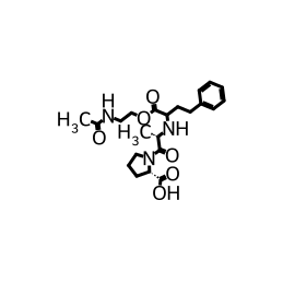 CC(=O)NCCOC(=O)C(CCc1ccccc1)N[C@@H](C)C(=O)N1CCC[C@H]1C(=O)O